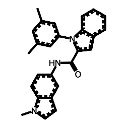 Cc1cc(C)cc(-n2c(C(=O)Nc3ccc4c(ccn4C)c3)cc3ccccc32)c1